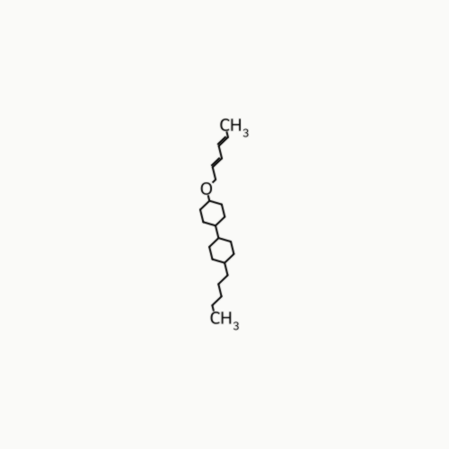 C/C=C/C=C/COC1CCC(C2CCC(CCCCC)CC2)CC1